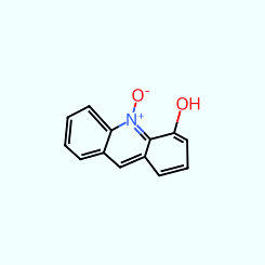 [O-][n+]1c2ccccc2cc2cccc(O)c21